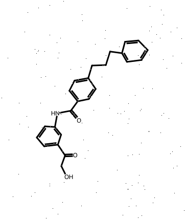 O=C(CO)c1cccc(NC(=O)c2ccc(CCCc3ccccc3)cc2)c1